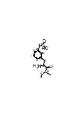 CON(C)C(=O)[C@@H](N)Cc1cccc(C[SH](=O)=O)c1